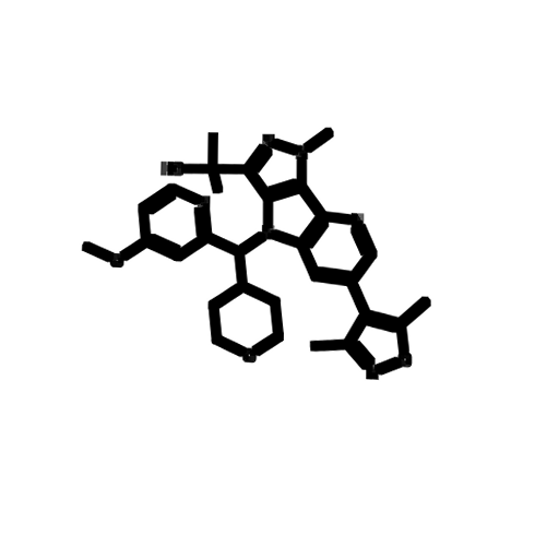 COc1ccnc(C(C2CCOCC2)n2c3cc(-c4c(C)noc4C)cnc3c3c2c(C(C)(C)O)nn3C)c1